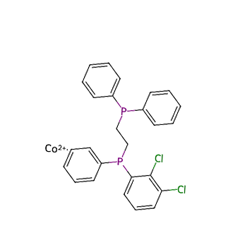 Clc1cccc(P(CCP(c2ccccc2)c2ccccc2)c2ccccc2)c1Cl.[Co+2]